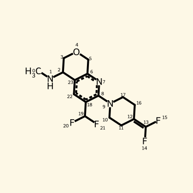 CNC1COCc2nc(N3CCC(=C(F)F)CC3)c(C(F)F)cc21